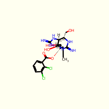 CC1[C@H](OC(=O)c2cccc(Cl)c2Cl)C(O)(O)[C@]23NC(=N)N[C@H]2[C@H](CO)NC(=N)N13